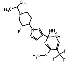 CNC1=NC(N)(c2cnn([C@@H]3CCN(C(C)C)C[C@H]3F)c2)NC=C1C(F)(F)F